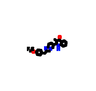 Cc1c(-c2ccc3nc(Cc4ccc(OC(F)(F)F)cc4)cn3c2)[nH]c2ccccc2c1=O